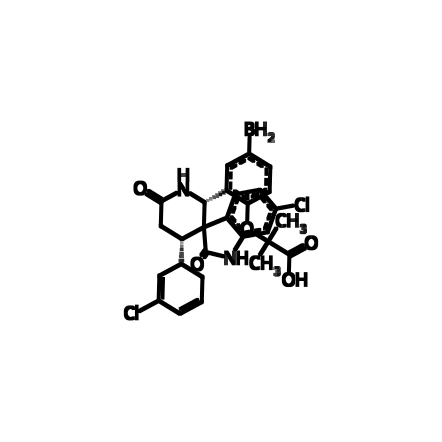 Bc1ccc(OC(C)(C)C(=O)O)c([C@H]2NC(=O)C[C@@H](C3C=C(Cl)C=CC3)C23C(=O)Nc2cc(Cl)ccc23)c1